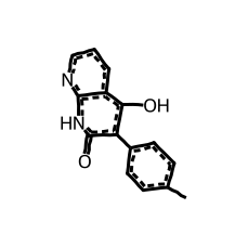 Cc1ccc(-c2c(O)c3cccnc3[nH]c2=O)cc1